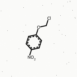 O=[N+]([O-])c1ccc(OCCl)cc1